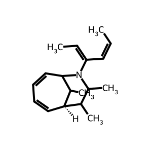 C/C=C\C(=C\C)N1C(C)C(C)[C@H]2C=CC=CC1C2C